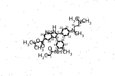 C=CC(=O)Nc1cc(-c2c(-c3ccc(N(C)CCN(C)C)cc3)[nH]c3ncc(C(=O)OC(C)C)cc23)ccc1C